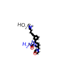 CN(CCCC#Cc1cccc(-c2nc(C(N)=O)n3cc(CN4CCOCC4)ccc23)c1)C(=O)O